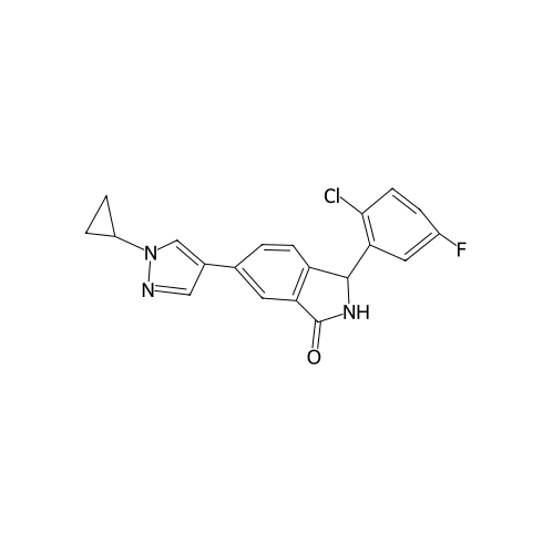 O=C1NC(c2cc(F)ccc2Cl)c2ccc(-c3cnn(C4CC4)c3)cc21